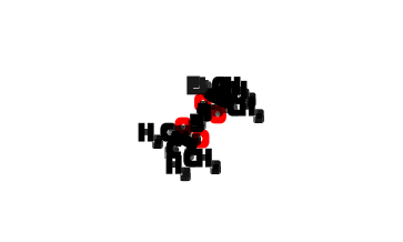 CCC1(C)OB(B2OC(C)C(C)(C)O2)OC1(C)C